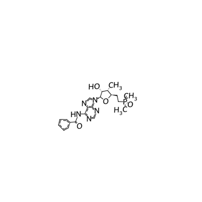 C[C@H]1[C@@H](O)[C@H](n2cnc3c(NC(=O)c4ccccc4)ncnc32)O[C@@H]1CCP(C)(C)=O